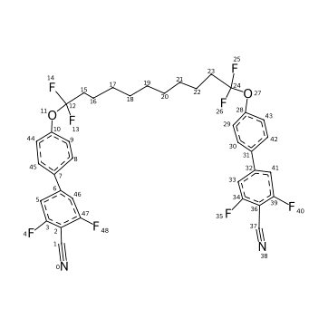 N#Cc1c(F)cc(-c2ccc(OC(F)(F)CCCCCCCCCC(F)(F)Oc3ccc(-c4cc(F)c(C#N)c(F)c4)cc3)cc2)cc1F